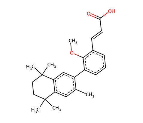 COc1c(C=CC(=O)O)cccc1-c1cc2c(cc1C)C(C)(C)CCC2(C)C